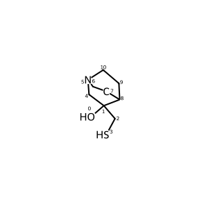 OC1(CS)CN2CCC1CC2